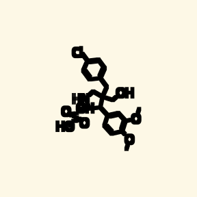 COc1ccc(C2CNCC2(CO)Cc2ccc(Cl)cc2)cc1OC.O=S(=O)(O)O